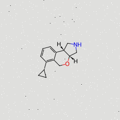 c1cc(C2CC2)c2c(c1)[C@@H]1CNC[C@@H]1OC2